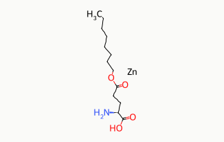 CCCCCCCCOC(=O)CC[C@H](N)C(=O)O.[Zn]